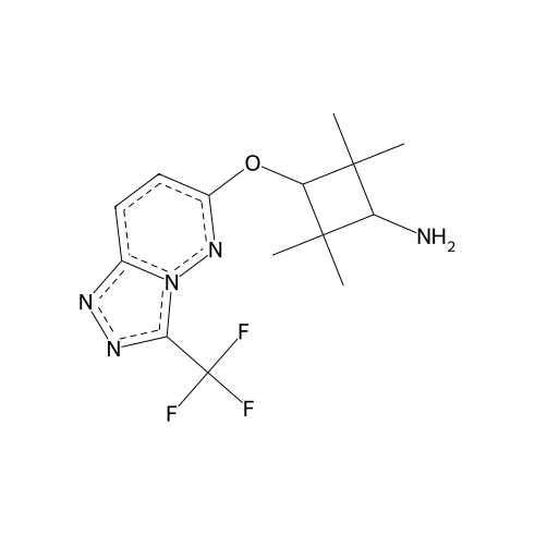 CC1(C)C(N)C(C)(C)C1Oc1ccc2nnc(C(F)(F)F)n2n1